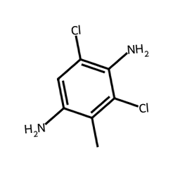 Cc1c(N)cc(Cl)c(N)c1Cl